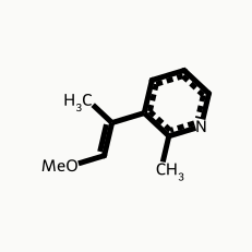 COC=C(C)c1cccnc1C